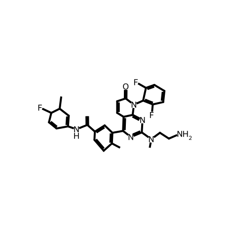 C=C(NC1=CC(C)C(F)C=C1)c1ccc(C)c(-c2nc(N(C)CCN)nc3c2ccc(=O)n3-c2c(F)cccc2F)c1